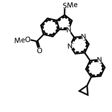 COC(=O)c1ccc2c(SC)cn(-c3ncc(-c4cc(C5CC5)ccn4)cn3)c2c1